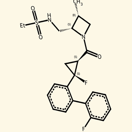 CCS(=O)(=O)NC[C@@H]1[C@H](C)CN1C(=O)[C@@H]1C[C@@]1(F)c1ccccc1-c1ccccc1F